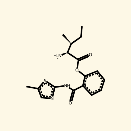 CC[C@H](C)[C@H](N)C(=O)Oc1ccccc1C(=O)Nc1ncc(C)s1